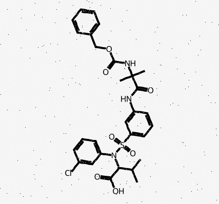 CC(C)C(C(=O)O)N(c1cccc(Cl)c1)S(=O)(=O)c1cccc(NC(=O)C(C)(C)NC(=O)OCc2ccccc2)c1